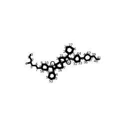 CCCC(C)CCCc1ccc(-c2oc3c(ccc4c3ccc3c(-c5ccccc5)c(-c5ccc(C6CCC(CCC)CC6)cc5)oc34)c2-c2ccccc2)cc1